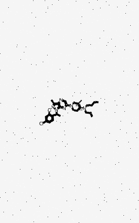 CCCCN(CCC)[C@H]1CCN(c2cnc3c(C)nn(C(C)c4ccc(Cl)cc4Cl)c3n2)C[C@H]1C